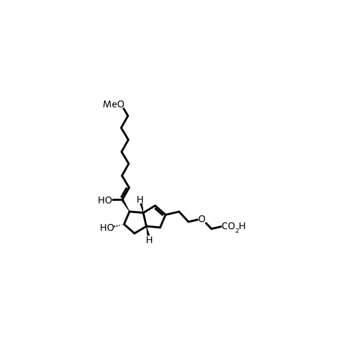 COCCCCCCC=C(O)[C@H]1[C@@H]2C=C(CCOCC(=O)O)C[C@@H]2C[C@@H]1O